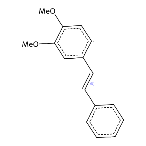 COc1c[c]c(/C=C/c2ccccc2)cc1OC